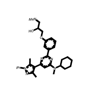 CNCC(O)COc1cccc(-c2nc(-c3c(C)nn(C(C)C)c3C)cc(N(C)C3CCCCC3)n2)c1